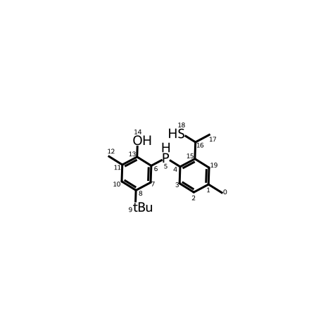 Cc1ccc(Pc2cc(C(C)(C)C)cc(C)c2O)c(C(C)S)c1